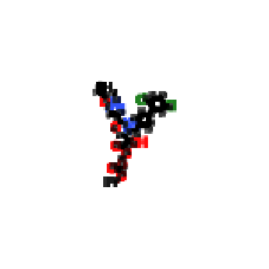 C=CCOn1cc(C(=O)NN(Cc2ccc(-c3cc(Cl)ccc3Cl)cc2)C[C@@H](O)C(=O)OCOC(=O)OC(C)C)nn1